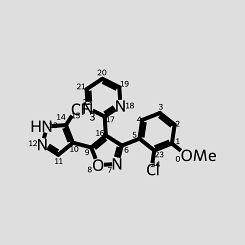 COc1cccc(-c2noc(-c3cn[nH]c3C(F)(F)F)c2-c2ncccn2)c1Cl